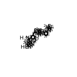 [2H]C([2H])(O)C([2H])([2H])C([2H])([2H])N1CCc2cc(C[C@@H](C)NC([2H])([2H])C([2H])([2H])Oc3ccccc3OC([2H])([2H])C(F)(F)F)cc(C(N)=O)c21